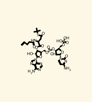 C=CCCC(=O)NC(CC(=O)SC(C)(C)C)C(=O)O[C@H]1[C@@H](O)[C@H](n2cnc3c(N)ncnc32)O[C@@H]1COP(=O)(O)O[C@H]1C[C@H](n2ccc(N)nc2=O)O[C@@H]1COP(=O)(O)O